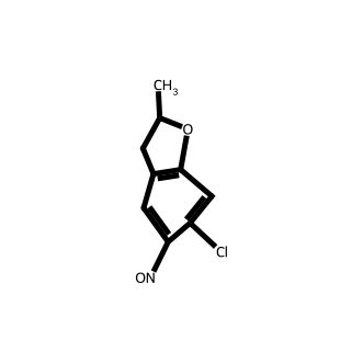 CC1Cc2cc(N=O)c(Cl)cc2O1